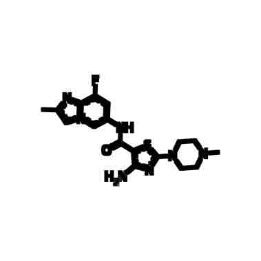 Cc1cn2cc(NC(=O)c3sc(N4CCN(C)CC4)nc3N)cc(F)c2n1